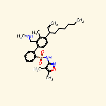 C=CC(CCCCCC)c1ccc(-c2ccccc2S(=O)(=O)Nc2noc(C)c2C)c(CNC)c1C